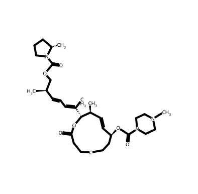 C/C(=C\C=C\[C@@H](C)COC(=O)N1CCC[C@@H]1C)[C@H]1OC(=O)CCCCC[C@H](OC(=O)N2CCN(C)CC2)/C=C/[C@@H]1C